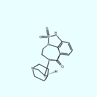 O=C1c2cccc3c2N(CCN1[C@@H]1CN2CCC1CC2)S(=O)(=O)N3